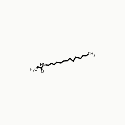 C=CC(=O)NCCCCCCCCCCCCCC